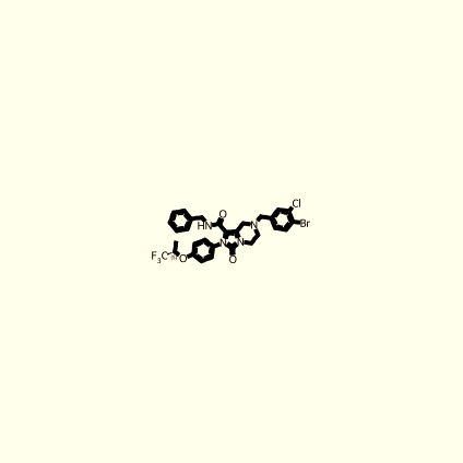 C[C@H](Oc1ccc(-n2c(C(=O)NCc3ccccc3)c3n(c2=O)CCN(Cc2ccc(Br)c(Cl)c2)C3)cc1)C(F)(F)F